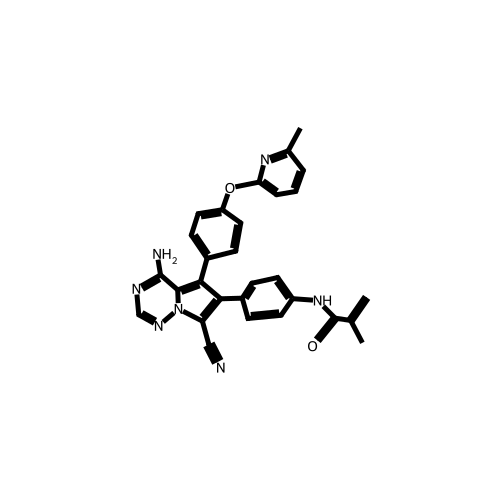 C=C(C)C(=O)Nc1ccc(-c2c(-c3ccc(Oc4cccc(C)n4)cc3)c3c(N)ncnn3c2C#N)cc1